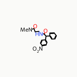 CNC(=O)CCNC(=O)C(c1ccccc1)c1ccc([N+](=O)[O-])cc1